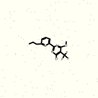 CCCc1cccc(-c2nc(Cl)c(C(F)(F)F)c(OC)n2)n1